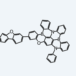 c1ccc(N2c3ccccc3B3c4ccccc4N4c5ccccc5B5c6ccc(-c7ccc8c(c7)oc7ccccc78)cc6Oc6cc2c3c4c65)cc1